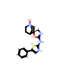 [O-][N+]12CCC(CC1)[C@]1(CN=C(Nc3ncc(-c4ccccc4)s3)O1)C2